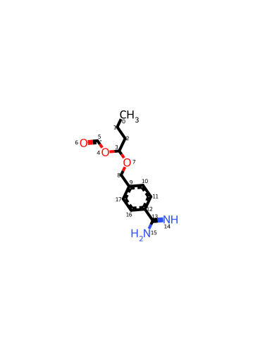 CCCC(O[C]=O)OCc1ccc(C(=N)N)cc1